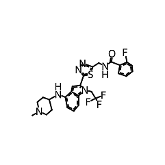 CN1CCC(Nc2cccc3c2cc(-c2nnc(CNC(=O)c4ccccc4F)s2)n3CC(F)(F)F)CC1